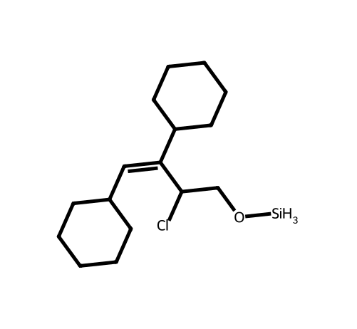 [SiH3]OCC(Cl)C(=CC1CCCCC1)C1CCCCC1